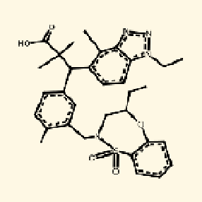 CC[C@@H]1CN(Cc2cc(C(c3ccc4c(nnn4CC)c3C)C(C)(C)C(=O)O)ccc2C)S(=O)(=O)c2ccccc2O1